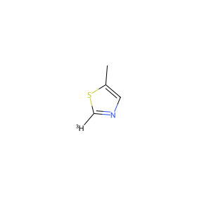 [3H]c1ncc(C)s1